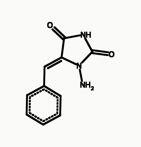 NN1C(=O)NC(=O)C1=Cc1ccccc1